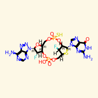 Nc1nc2c(ncn2[C@@H]2S[C@@H]3COP(=O)(O)O[C@H]4[C@H](F)[C@H](n5nnc6c(N)ncnc65)O[C@@H]4COP(=O)(S)O[C@@H]2[C@H]3F)c(=O)[nH]1